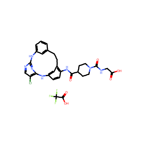 O=C(O)C(F)(F)F.O=C(O)CNC(=O)N1CCC(C(=O)Nc2ccc3cc2CCc2cccc(c2)Nc2ncc(Cl)c(n2)N3)CC1